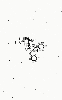 CC(C)C[C@H](NC(=O)[C@H](Cc1ccccc1)NC(=O)C1=NCCN=C1)B(O)O